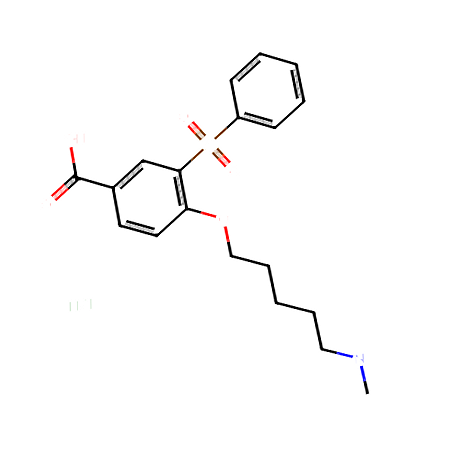 CNCCCCCOc1ccc(C(=O)O)cc1S(=O)(=O)c1ccccc1.Cl